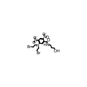 O=C(NCCCO)c1cc(N(CCBr)CCBr)c([N+](=O)[O-])cc1[N+](=O)[O-]